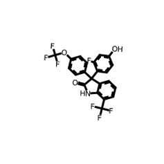 O=C1Nc2c(C(F)(F)F)cccc2C1(c1ccc(OC(F)(F)F)cc1)c1ccc(O)cc1F